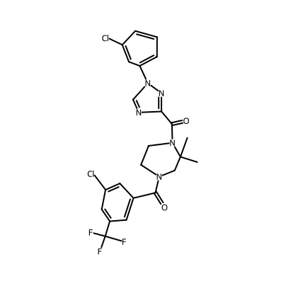 CC1(C)CN(C(=O)c2cc(Cl)cc(C(F)(F)F)c2)CCN1C(=O)c1ncn(-c2cccc(Cl)c2)n1